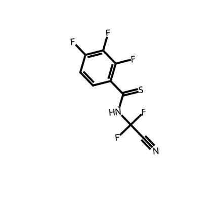 N#CC(F)(F)NC(=S)c1ccc(F)c(F)c1F